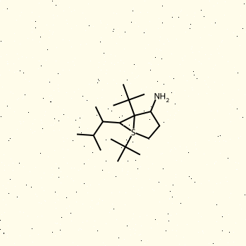 CC(C)C(C)C1C2(C(C)(C)C)C(N)CCS12C(C)(C)C